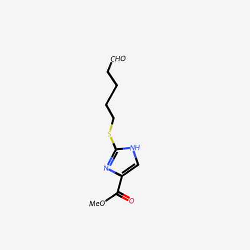 COC(=O)c1c[nH]c(SCCCCC=O)n1